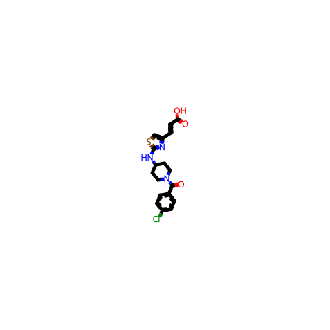 O=C(O)/C=C/c1csc(NC2CCN(C(=O)c3ccc(Cl)cc3)CC2)n1